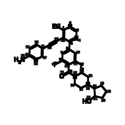 CCc1ncnc(-c2cc(F)c(C(=O)N3CCN(C4CCCC4O)CC3)c(F)c2)c1C#Cc1ccc(N)nc1